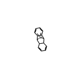 C[Si]1(C)C2C3C=CC=CC3C1C1C=CC=CC12